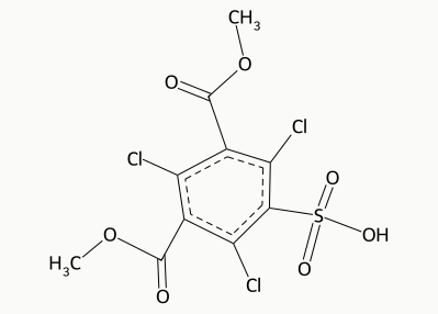 COC(=O)c1c(Cl)c(C(=O)OC)c(Cl)c(S(=O)(=O)O)c1Cl